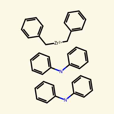 c1ccc([CH2][Zr+2][CH2]c2ccccc2)cc1.c1ccc([N-]c2ccccc2)cc1.c1ccc([N-]c2ccccc2)cc1